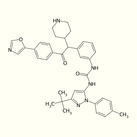 Cc1ccc(-n2nc(C(C)(C)C)cc2NC(=O)Nc2cccc(C(C(=O)c3ccc(-c4cnco4)cc3)C3CCNCC3)c2)cc1